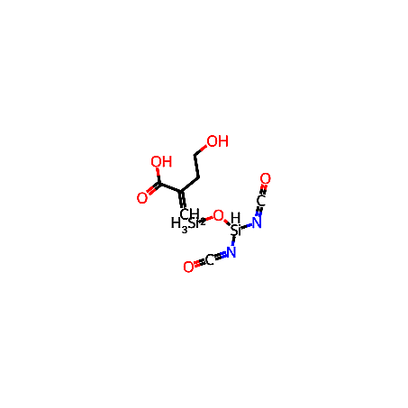 C=C(CCO)C(=O)O.O=C=N[SiH](N=C=O)O[SiH3]